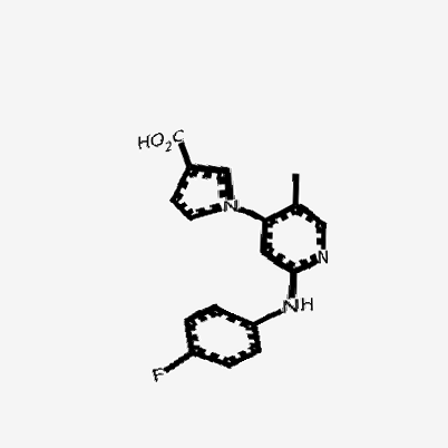 Cc1cnc(Nc2ccc(F)cc2)cc1-n1ccc(C(=O)O)c1